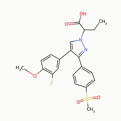 CCC(C(=O)O)n1cc(-c2ccc(OC)c(F)c2)c(-c2ccc(S(C)(=O)=O)cc2)n1